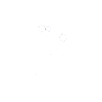 CC(OC1C(O)C(OCCCCCCN)C(O)C(O)C1OCc1ccccc1)c1c[nH]c2ccccc12